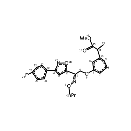 CCCON=C(COc1cccc(C(C)C(=O)OC)c1)c1cc(-c2ccc(F)cc2)no1